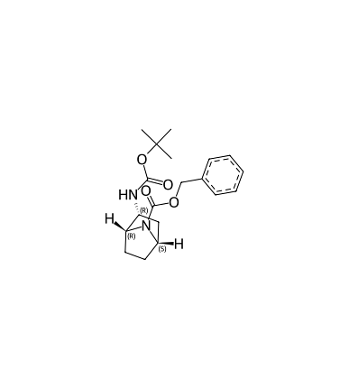 CC(C)(C)OC(=O)N[C@@H]1C[C@@H]2CC[C@H]1N2C(=O)OCc1ccccc1